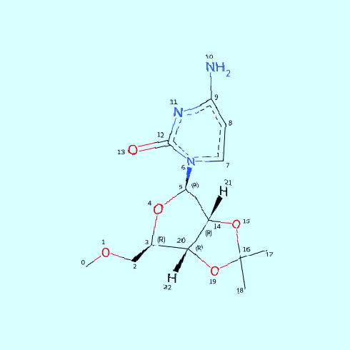 COC[C@H]1O[C@@H](n2ccc(N)nc2=O)[C@@H]2OC(C)(C)O[C@@H]21